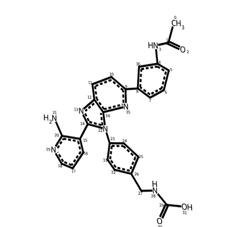 CC(=O)Nc1cccc(-c2ccc3nc(-c4cccnc4N)n(-c4ccc(CNC(=O)O)cc4)c3n2)c1